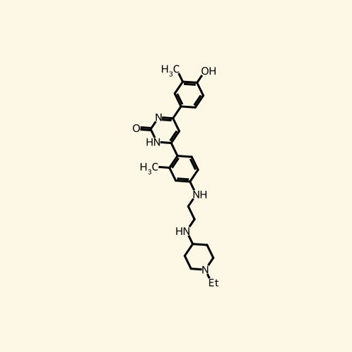 CCN1CCC(NCCNc2ccc(-c3cc(-c4ccc(O)c(C)c4)nc(=O)[nH]3)c(C)c2)CC1